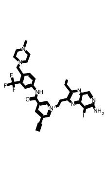 C#Cc1cc(C(=O)Nc2ccc(CN3CCN(C)CC3)c(C(F)(F)F)c2)c[n+](CCc2nc3c(I)c(N)ncc3nc2CC)c1